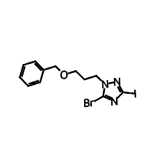 Brc1nc(I)nn1CCCOCc1ccccc1